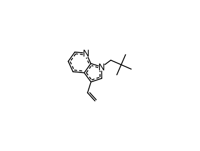 C=Cc1cn(CC(C)(C)C)c2ncccc12